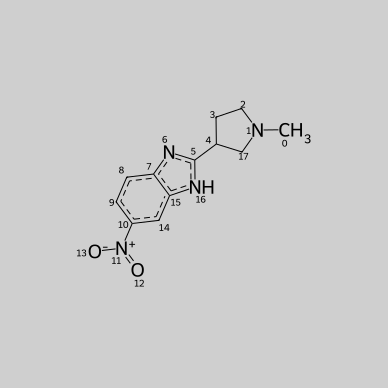 CN1CCC(c2nc3ccc([N+](=O)[O-])cc3[nH]2)C1